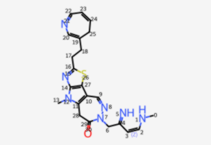 CN/C=C\C(=N)CN1N=Cc2c(n(C)c3nc(CCC4=CN=CC=CC4)sc23)CC1=O